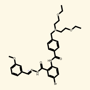 CCOCCN(CCOCC)Cc1ccc(C(=O)Nc2ccc(Br)cc2C(=O)N/N=C/c2cccc(OC)c2)cc1